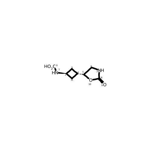 O=C(O)N[C@H]1C[C@H](C2CNC(=O)O2)C1